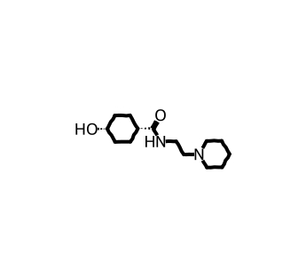 O=C(NCCN1CCCCC1)[C@H]1CC[C@@H](O)CC1